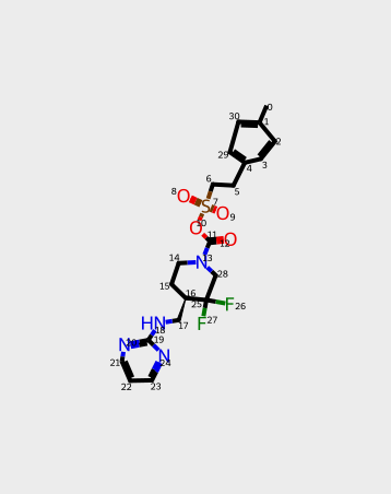 Cc1ccc(CCS(=O)(=O)OC(=O)N2CC[C@H](CNc3ncccn3)C(F)(F)C2)cc1